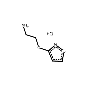 Cl.NCCOc1ccon1